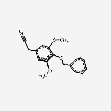 COc1cc(CC#N)cc(OC)c1SCc1ccccc1